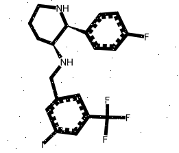 Fc1ccc([C@@H]2NCCC[C@@H]2NCc2cc(I)cc(C(F)(F)F)c2)cc1